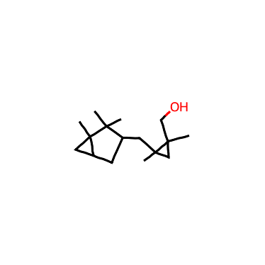 CC1(CO)CC1(C)CC1CC2CC2(C)C1(C)C